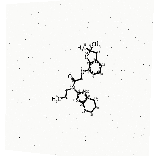 CCCN(C(=O)COc1cccc2c1OC(C)(C)C2)c1nc2c(s1)CCCC2